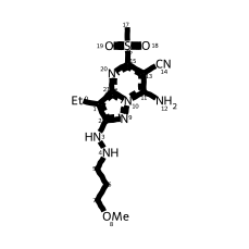 CCc1c(NNCCCOC)nn2c(N)c(C#N)c(S(C)(=O)=O)nc12